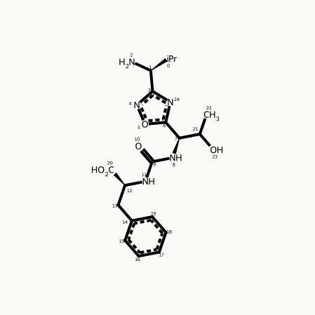 CC(C)[C@H](N)c1noc([C@H](NC(=O)N[C@@H](Cc2ccccc2)C(=O)O)C(C)O)n1